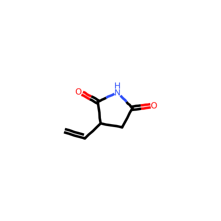 C=CC1CC(=O)NC1=O